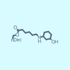 CCCCCCCCCCCOC(=O)CCCCCNC1CCCC(O)C1